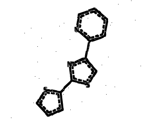 c1ccc(-c2csc(-c3cccs3)n2)nc1